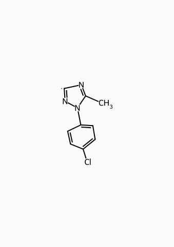 Cc1n[c]nn1-c1ccc(Cl)cc1